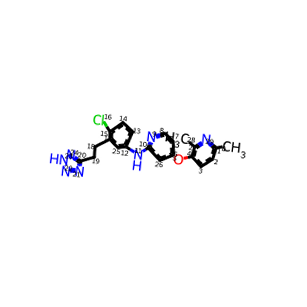 Cc1ccc(Oc2ccnc(Nc3ccc(Cl)c(CCc4nn[nH]n4)c3)c2)c(C)n1